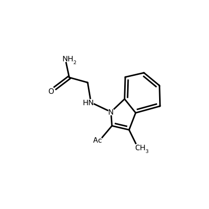 CC(=O)c1c(C)c2ccccc2n1NCC(N)=O